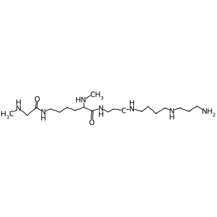 CNCC(=O)NCCCCC(NC)C(=O)NCCCNCCCCNCCCN